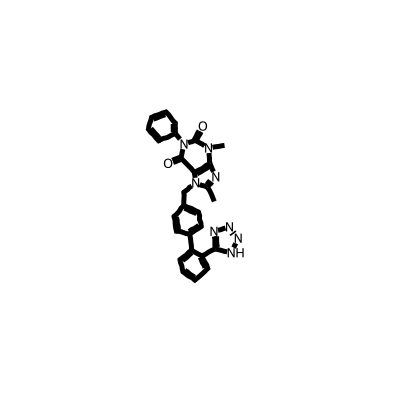 Cc1nc2c(c(=O)n(-c3ccccc3)c(=O)n2C)n1Cc1ccc(-c2ccccc2-c2nnn[nH]2)cc1